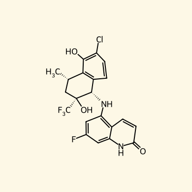 C[C@H]1C[C@@](O)(C(F)(F)F)[C@@H](Nc2cc(F)cc3[nH]c(=O)ccc23)c2ccc(Cl)c(O)c21